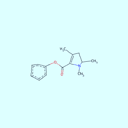 CC1=C(C(=O)Oc2ccccc2)N(C)C(C)C1